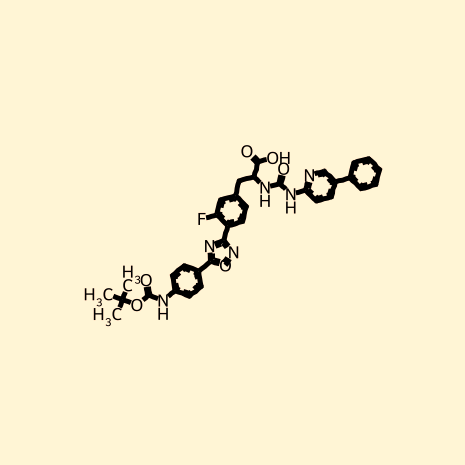 CC(C)(C)OC(=O)Nc1ccc(-c2nc(-c3ccc(CC(NC(=O)Nc4ccc(-c5ccccc5)cn4)C(=O)O)cc3F)no2)cc1